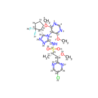 COc1ncnc(OC)c1-n1c(NS(=O)(=O)[C@@H](C)[C@H](OC)c2ncc(Cl)cn2)nnc1[C@H]1CCCC1(F)F